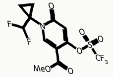 COC(=O)c1cn(C2(C(F)F)CC2)c(=O)cc1OS(=O)(=O)C(F)(F)F